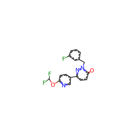 O=c1ccc(-c2ccc(OC(F)F)nc2)nn1Cc1cccc(F)c1